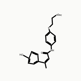 CCCCCCCCCCCCSc1ccc(NC(=O)C=C(C)c2ccc(O)cc2)cc1